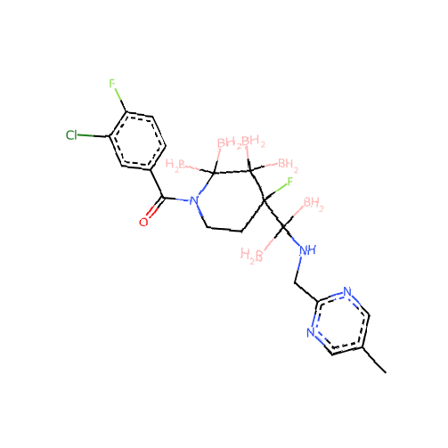 BC(B)(NCc1ncc(C)cn1)C1(F)CCN(C(=O)c2ccc(F)c(Cl)c2)C(B)(B)C1(B)B